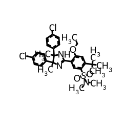 CCOc1cc(C(C)(C)C)c(S(=O)(=O)N(C)C)cc1C1=NC(C)(c2ccc(Cl)cc2)C(C)(c2ccc(Cl)cc2)N1